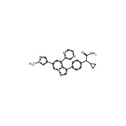 Cn1cc(-c2cc(-c3cnccn3)c3c(-c4ccc(C(C(N)=O)C5CC5)cc4)cnn3c2)cn1